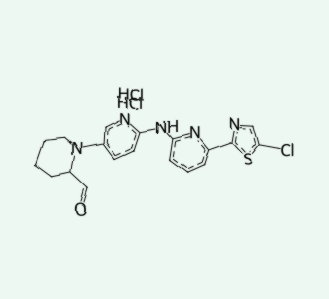 Cl.Cl.O=CC1CCCCN1c1ccc(Nc2cccc(-c3ncc(Cl)s3)n2)nc1